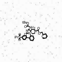 CC(C)S(=O)(=O)c1ccc(-c2ccccc2N2C(=O)N=C(NC(=O)OC(C)(C)C)[C@@]23CCN(C(=O)OCc2ccccc2)[C@H](C)C3)cc1